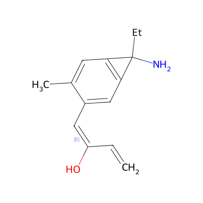 C=C/C(O)=C\c1cc2c(cc1C)C2(N)CC